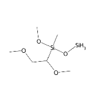 COCC(OC)[Si](C)(OC)O[SiH3]